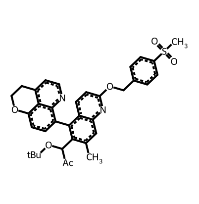 CC(=O)C(OC(C)(C)C)c1c(C)cc2nc(OCc3ccc(S(C)(=O)=O)cc3)ccc2c1-c1ccc2c3c(ccnc13)CCO2